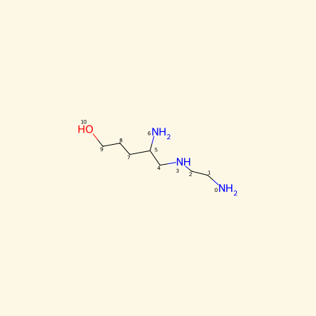 NCCNCC(N)CCCO